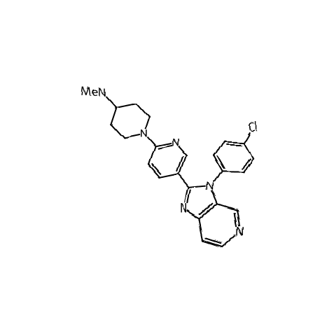 CNC1CCN(c2ccc(-c3nc4ccncc4n3-c3ccc(Cl)cc3)cn2)CC1